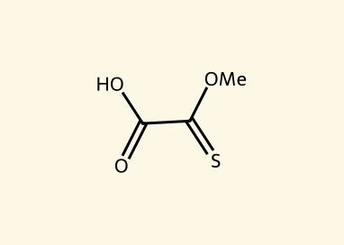 COC(=S)C(=O)O